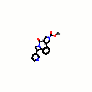 CC(C)(C)OC(=O)N1C[C@@H](C(=O)N2CC(c3cccnc3)C2)[C@H](c2ccccc2)C1